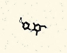 [CH2]Cc1cc(C)c(Sc2ccc(OC)cc2)c(C)c1